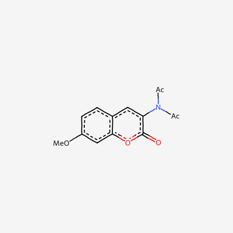 COc1ccc2cc(N(C(C)=O)C(C)=O)c(=O)oc2c1